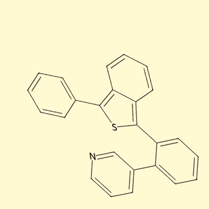 c1ccc(-c2sc(-c3ccccc3-c3cccnc3)c3ccccc23)cc1